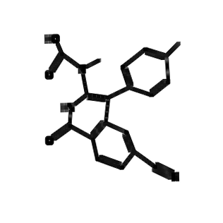 Cc1ccc(-c2c(N(C)C(=O)O)[nH]c(=O)c3ccc(C#N)cc23)cc1